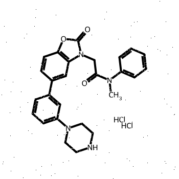 CN(C(=O)Cn1c(=O)oc2ccc(-c3cccc(N4CCNCC4)c3)cc21)c1ccccc1.Cl.Cl